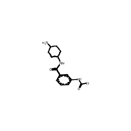 CCC(=O)Nc1cccc(C(=O)NC2CCC(N)CC2)c1